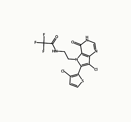 O=C(NCCn1c(-c2sccc2Cl)c(Cl)c2nc[nH]c(=O)c21)C(F)(F)F